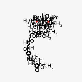 C=CC(=O)Nc1cc(Cl)cc(NC(=O)c2cnn(-c3ccc(C(=O)NCCNC(=O)CCC[C@@H](C)[C@@H](O)CC(=O)N[C@@H](CC)C(=O)N(C)CC(=O)N(C)[C@@H](CC(C)C)C(=O)N[C@H](C(=O)N(C)[C@@H](CC(C)C)C(=O)N[C@@H](C)C(=O)N[C@H](C)C(O)N(C)[C@@H](CC(C)C)C(=O)N(C)[C@@H](CC(C)C)C(=O)N(C)[C@H](C(=O)NC)C(C)C)C(C)C)cc3)c2C(F)(F)F)c1